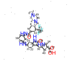 CCN1CCN(Cc2ccc(C(=O)Nc3cccc(Nc4ccc5c(c4)NC(=O)C5=Cc4[nH]c(C)c(C(=O)O)c4C)c3)cc2C(F)(F)F)CC1